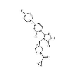 O=C(C1CC1)N1CC[C@@H](Cn2c(-c3ccc(-c4ccc(F)cc4)cc3Cl)n[nH]c2=O)C1